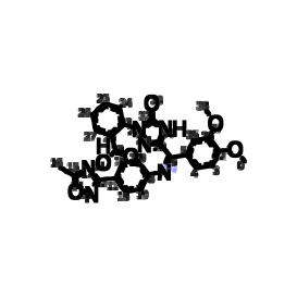 COc1ccc(/C(=N/c2ccc(-c3noc(C)n3)cc2)c2nn(-c3ccccc3C(=O)O)c(=O)[nH]2)cc1OC